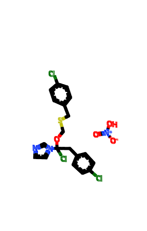 Clc1ccc(CSCOC(Cl)(Cc2ccc(Cl)cc2)n2ccnc2)cc1.O=[N+]([O-])O